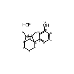 CC1N(C)C2CCCC1(c1cccc(O)c1)C2.Cl